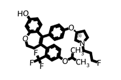 CC(C)Oc1ccc(C2=C(c3ccc(O[C@H]4CCN(CCCF)C4)cc3)c3ccc(O)cc3OCC2)c(C(F)(F)F)c1